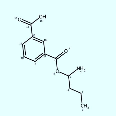 CCCC(N)OC(=O)c1cccc(C(=O)O)c1